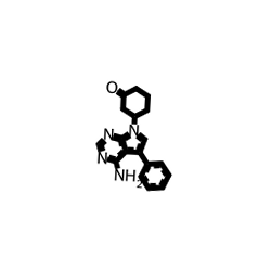 Nc1ncnc2c1c(-c1ccccc1)cn2C1CCCC(=O)C1